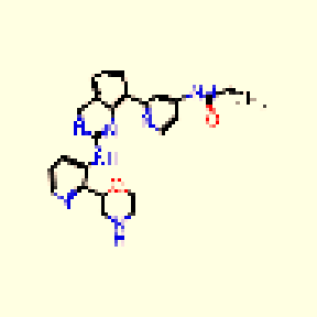 C=CC(=O)Nc1ccnc(-c2cccc3cnc(Nc4cccnc4C4CNCCO4)nc23)c1